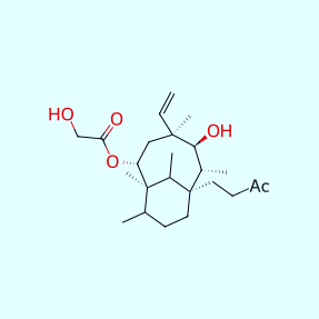 C=C[C@]1(C)C[C@@H](OC(=O)CO)[C@]2(C)C(C)CC[C@@](CCC(C)=O)(C2C)[C@@H](C)[C@@H]1O